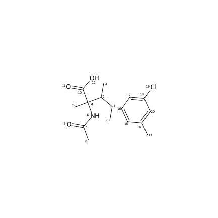 CCC(C)C(C)(NC(C)=O)C(=O)O.Cc1cccc(Cl)c1